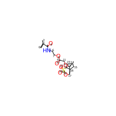 C=C(C)C(=O)NCCOC(=O)COC1C2CC3C1OS(=O)(=O)C3C2